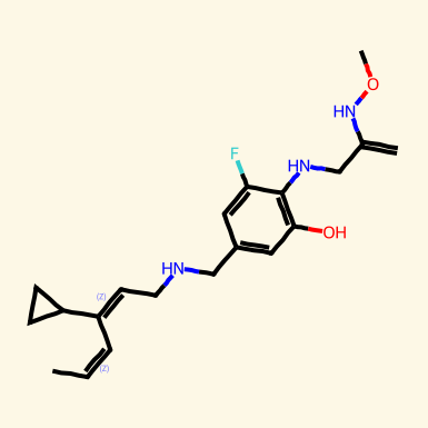 C=C(CNc1c(O)cc(CNC/C=C(\C=C/C)C2CC2)cc1F)NOC